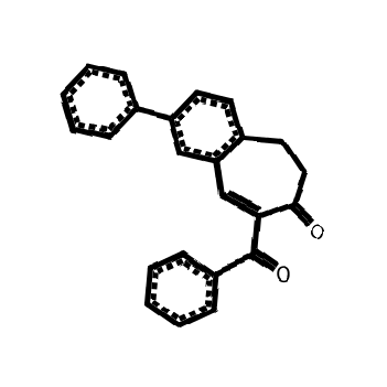 O=C1CCc2ccc(-c3ccccc3)cc2C=C1C(=O)c1ccccc1